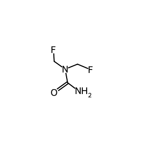 NC(=O)N(CF)CF